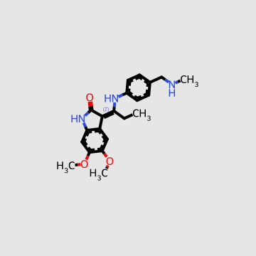 CC/C(Nc1ccc(CNC)cc1)=C1/C(=O)Nc2cc(OC)c(OC)cc21